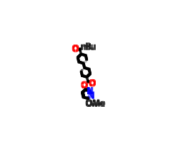 CCCCC(=O)[C@H]1CC[C@H]([C@H]2CC[C@H](C(=O)Oc3ccc(OC)nn3)CC2)CC1